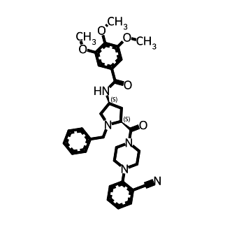 COc1cc(C(=O)N[C@H]2C[C@@H](C(=O)N3CCN(c4ccccc4C#N)CC3)N(Cc3ccccc3)C2)cc(OC)c1OC